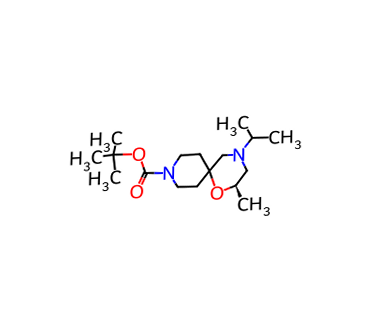 CC(C)N1C[C@@H](C)OC2(CCN(C(=O)OC(C)(C)C)CC2)C1